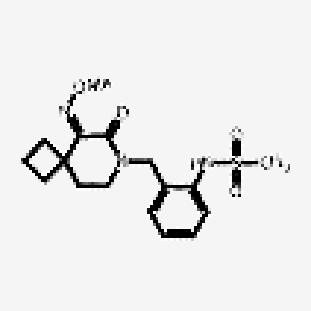 CO/N=C1\C(=O)N(Cc2ccccc2NS(C)(=O)=O)CCC12CCC2